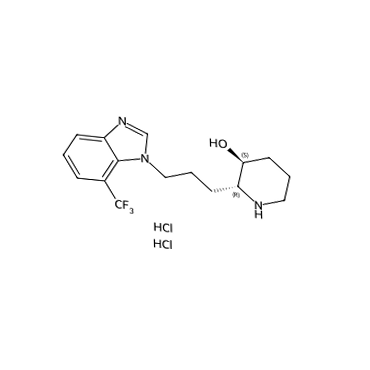 Cl.Cl.O[C@H]1CCCN[C@@H]1CCCn1cnc2cccc(C(F)(F)F)c21